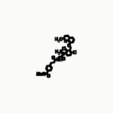 CNC(=O)c1ccc(CCC(=O)NCC(=O)N(C)c2ccc(Cl)c(COc3cccc4ccc(C)nc34)c2Cl)cc1